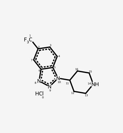 Cl.FC(F)(F)c1ccc2c(c1)nnn2C1CCNCC1